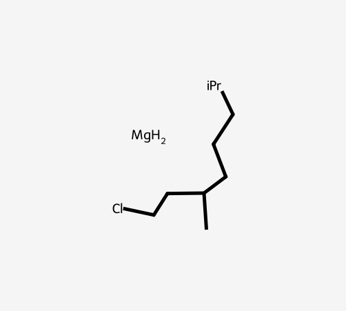 CC(C)CCCC(C)CCCl.[MgH2]